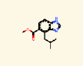 COC(=O)c1ccc2[nH]cnc2c1CC(C)C